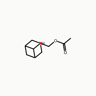 CC(=O)OCCC1C2CNCC1C2